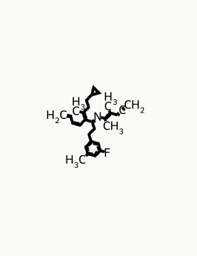 C=C=C/C(C)=C(C)/N=C(CCc1cc(C)cc(F)c1)/C(/C=C\C=C)=C(/C)CCC1CC1